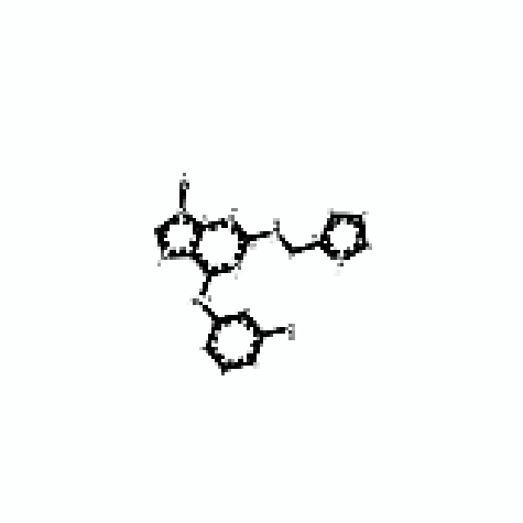 CCn1cnc2c(Nc3cccc(Cl)c3)nc(NCc3ccco3)nc21